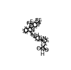 O=C1NC(=O)C(=Cc2ccnc(N3CCC(CNCc4nc(-c5ccc(C(F)(F)F)cc5C(F)(F)F)cc5ccccc45)CC3)n2)S1